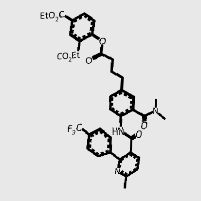 CCOC(=O)c1ccc(OC(=O)CCCc2ccc(NC(=O)c3ccc(C)nc3-c3ccc(C(F)(F)F)cc3)c(C(=O)N(C)C)c2)c(C(=O)OCC)c1